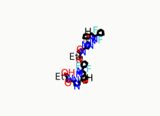 CCC(C)(O)c1coc(-c2cncc([C@@]34CC[C@@H](c5cc(-c6c(F)ccc(O[C@@](C)(CC)c7coc(-c8cncc([C@]9%10CC[C@H](C9)c9cc(-c%11c(F)cccc%11F)nnc9%10)n8)n7)c6F)nnc53)C4(C)C)n2)n1